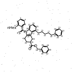 CCCCCCc1ccccc1C(=S)n1c2c(c3c(CCCCCc4ccccc4)cccc31)CC(C(=O)OCc1ccccc1)CC2